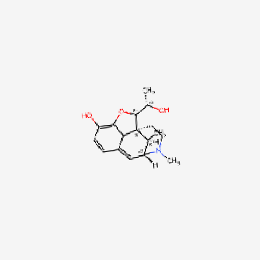 C[C@H](O)[C@@H]1OC2=C(O)C=CC3=C[C@@H]4[C@H](C)[C@@]1(CCN4C)C32